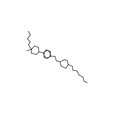 CCCCCCCC1CCC(CCc2ccc(C3CCC(C)(CCCCC)CC3)cc2)CC1